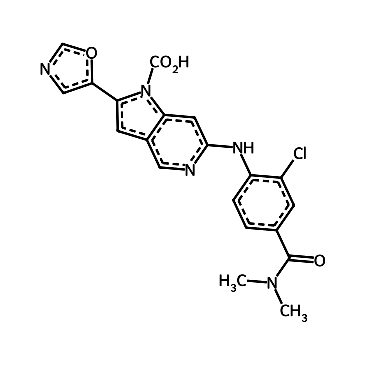 CN(C)C(=O)c1ccc(Nc2cc3c(cn2)cc(-c2cnco2)n3C(=O)O)c(Cl)c1